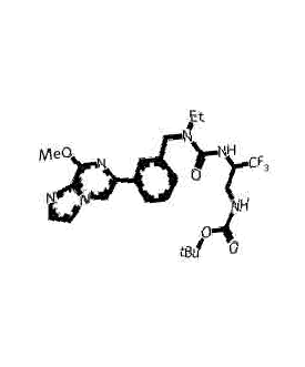 CCN(Cc1cccc(-c2cn3ccnc3c(OC)n2)c1)C(=O)NC(CNC(=O)OC(C)(C)C)C(F)(F)F